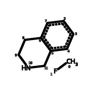 CF.c1ccc2c(c1)CCNC2